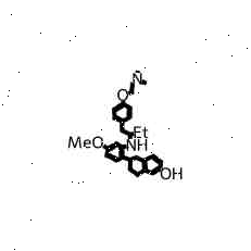 CCC(Cc1ccc(OCCN(C)C)cc1)Nc1cc(OC)ccc1C1CCc2cc(O)ccc2C1